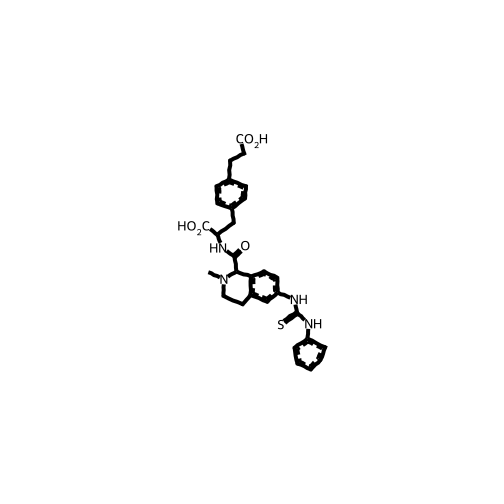 CN1CCc2cc(NC(=S)Nc3ccccc3)ccc2C1C(=O)NC(Cc1ccc(CCC(=O)O)cc1)C(=O)O